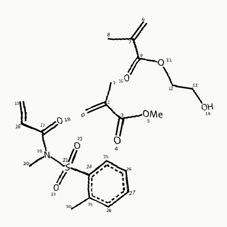 C=C(C)C(=O)OC.C=C(C)C(=O)OCCO.C=CC(=O)N(C)S(=O)(=O)c1ccccc1C